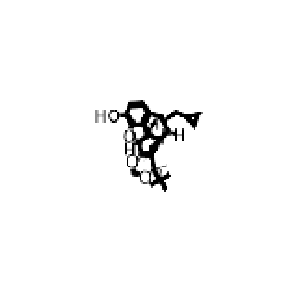 CC(C)(C)[C@@]1(C)OCO[C@]23C=C[C@@]4(CC12)[C@H]1Cc2ccc(O)c5c2[C@@]4(CCN1CC1CC1)[C@H]3O5